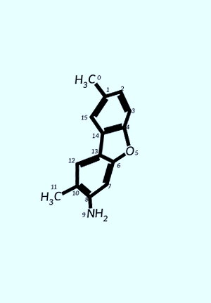 Cc1ccc2oc3cc(N)c(C)cc3c2c1